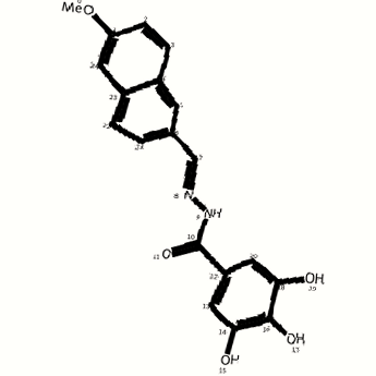 COc1ccc2cc(C=NNC(=O)c3cc(O)c(O)c(O)c3)ccc2c1